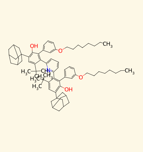 CCCCCCCCOc1cccc(-c2c(O)c(C34CC5CC(CC(C5)C3)C4)cc(C(C)(C)C)c2-c2cccc(-c3c(C(C)(C)C)cc(C45CC6CC(CC(C6)C4)C5)c(O)c3-c3cccc(OCCCCCCCC)c3)n2)c1